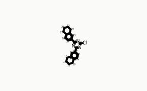 Clc1nc(-c2ccc3c(c2)CCCC3)nc(-c2ccc3c(c2)CCCC3)n1